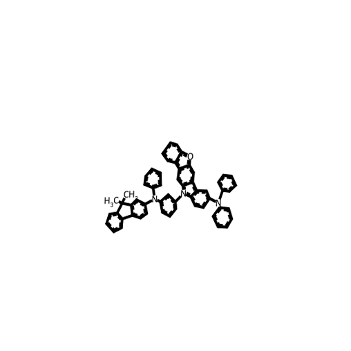 CC1(C)c2ccccc2-c2ccc(N(c3ccccc3)c3cccc(-n4c5ccc(N(c6ccccc6)c6ccccc6)cc5c5cc6oc7ccccc7c6cc54)c3)cc21